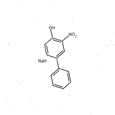 O=[N+]([O-])c1cc(-c2ccccc2)ccc1O.[NaH]